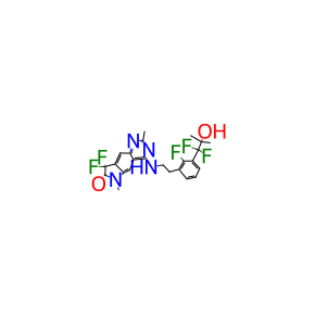 Cc1nc(NCCc2cccc(C(F)(F)C(C)(C)O)c2F)c2cc3c(cc2n1)C(F)(F)C(=O)N3C